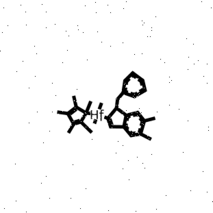 CC1=C(C)[C](C)([Hf]([CH3])([CH3])[C]2=Cc3cc(C)c(C)cc3C2Cc2ccccc2)C(C)=C1C